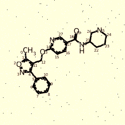 Cc1onc(-c2ccccc2)c1COc1ccc(C(=O)NC2CCC[N]C2)cn1